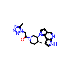 Cc1nnnn1CC(=O)N1CC[C@H](C)[C@H](n2ccc3cnc4[nH]ccc4c32)C1